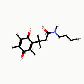 CC1=C(C)C(=O)C(C(C)(C)CC(=O)N(C)CCCC(C)C)=C(C)C1=O